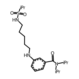 CC(C)N(C(=O)c1cccc(NCCCCCNS(=O)(=O)C(C)C)c1)C(C)C